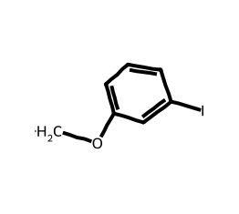 [CH2]Oc1cccc(I)c1